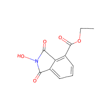 CCOC(=O)c1cccc2c1C(=O)N(O)C2=O